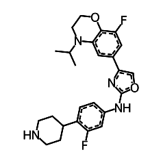 CC(C)N1CCOc2c(F)cc(-c3coc(Nc4ccc(C5CCNCC5)c(F)c4)n3)cc21